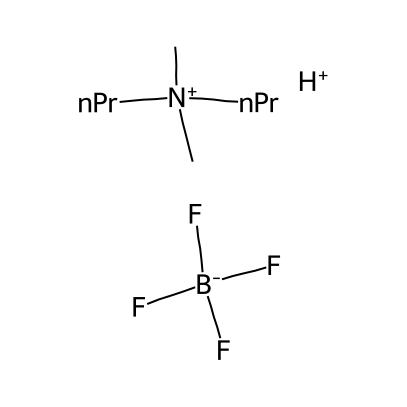 CCC[N+](C)(C)CCC.F[B-](F)(F)F.[H+]